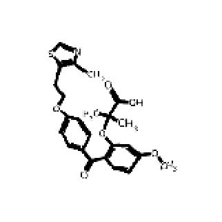 COc1ccc(C(=O)c2ccc(OCCc3scnc3C)cc2)c(OC(C)(C)C(=O)O)c1